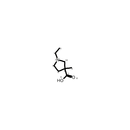 CCN1CCC(C)(C(=O)O)C1